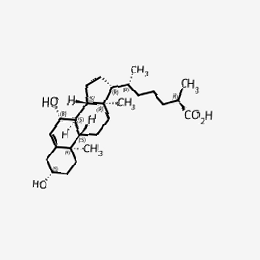 C[C@H](CCC[C@@H](C)[C@H]1CC[C@H]2[C@@H]3[C@@H](O)C=C4C[C@@H](O)CC[C@]4(C)[C@H]3CC[C@]12C)C(=O)O